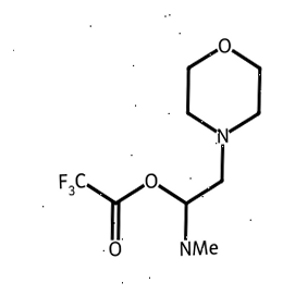 CNC(CN1CCOCC1)OC(=O)C(F)(F)F